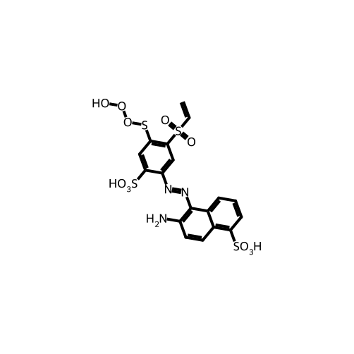 C=CS(=O)(=O)c1cc(N=Nc2c(N)ccc3c(S(=O)(=O)O)cccc23)c(S(=O)(=O)O)cc1SOOO